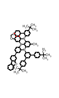 Cc1cc2c3c(c1)N(c1ccc(C(C)(C)C)cc1-c1ccccc1)c1cc4c(cc1B3c1ccc(-c3ccc5c(c3)oc3ccccc35)cc1N2c1cc(-c2ccc(C(C)(C)C)cc2)cc(-c2ccc(C(C)(C)C)cc2)c1)OCO4